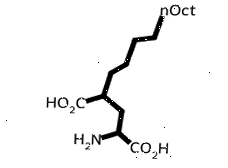 CCCCCCCCCCCCC(CC(N)C(=O)O)C(=O)O